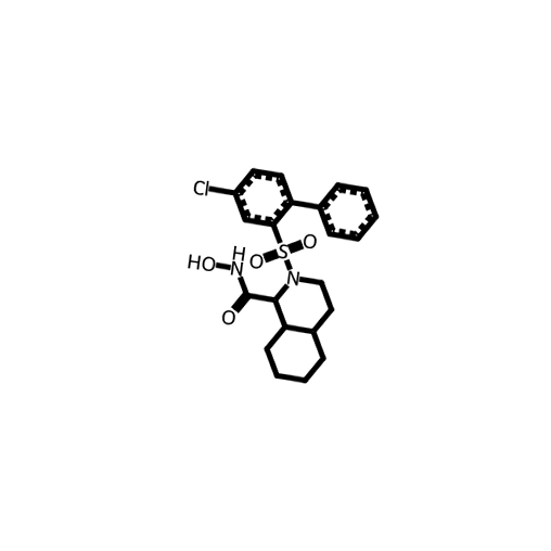 O=C(NO)C1C2CCCCC2CCN1S(=O)(=O)c1cc(Cl)ccc1-c1ccccc1